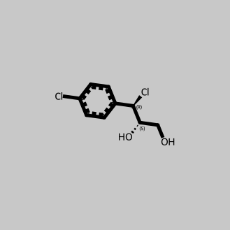 OC[C@H](O)[C@H](Cl)c1ccc(Cl)cc1